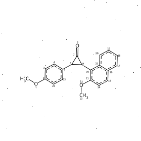 COc1ccc(C2C(=O)C2c2c(OC)ccc3ccccc23)cc1